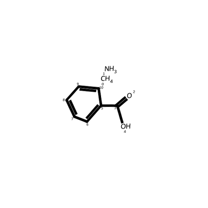 C.N.O=C(O)c1ccccc1